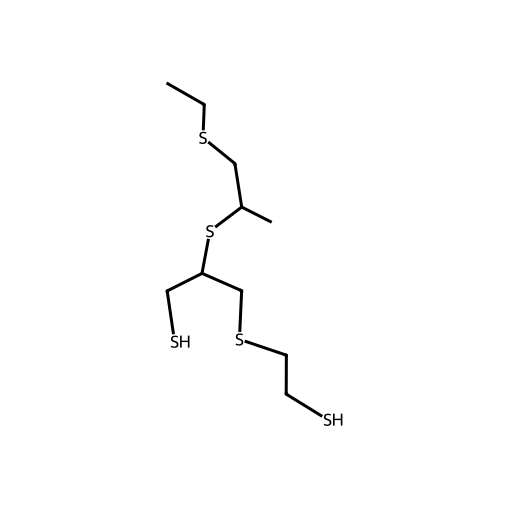 CCSCC(C)SC(CS)CSCCS